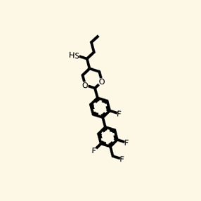 CCCC(S)C1COC(c2ccc(-c3cc(F)c(CF)c(F)c3)c(F)c2)OC1